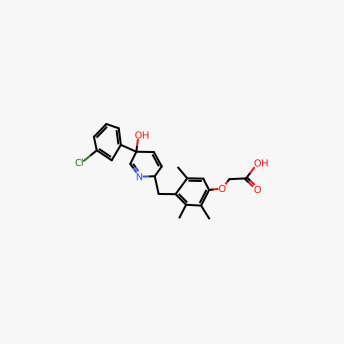 Cc1cc(OCC(=O)O)c(C)c(C)c1CC1C=CC(O)(c2cccc(Cl)c2)C=N1